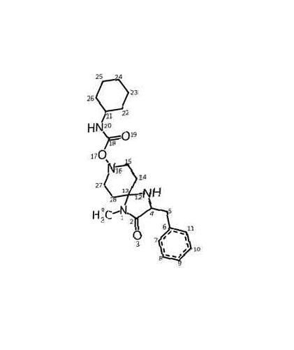 CN1C(=O)C(Cc2ccccc2)NC12CCN(OC(=O)NC1CCCCC1)CC2